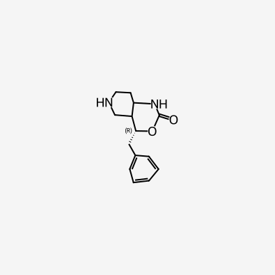 O=C1NC2CCNCC2[C@@H](Cc2ccccc2)O1